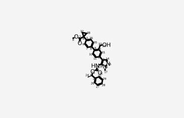 COC(=O)C1(c2ccc(-c3ccc(-c4cnn(C)c4NC(=O)O[C@H](C)c4ccccc4)cc3CO)cc2)CC1